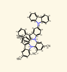 CC(C)(C)c1ccc2c(c1)c1cc(C(C)(C)C)ccc1n2-c1c(C#N)cc(C#N)cc1-n1c2ccc(-n3c4ccccc4c4ccccc43)cc2c2c3ccccc3ccc21